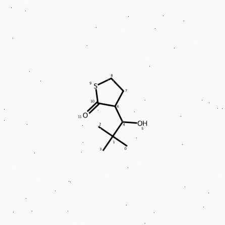 CC(C)(C)C(O)C1CCSC1=O